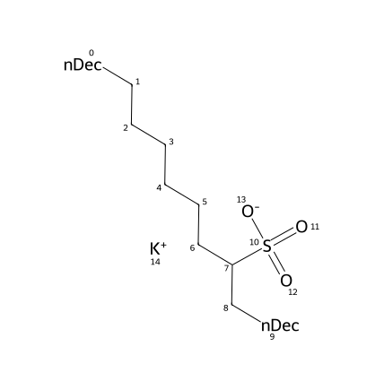 CCCCCCCCCCCCCCCCC(CCCCCCCCCCC)S(=O)(=O)[O-].[K+]